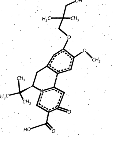 COc1cc2c(cc1OCC(C)(C)CO)C[C@H](C(C)(C)C)n1cc(C(=O)O)c(=O)cc1-2